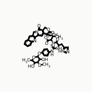 CCC1(OC(=O)C(NC(=O)C(Cc2cnc[nH]2)NC(=S)Nc2ccc(OC3OC(C)C(O)C(OC)C3O)cc2)C(C)C)C(=O)OCc2c1cc1n(c2=O)Cc2cc3ccccc3nc2-1